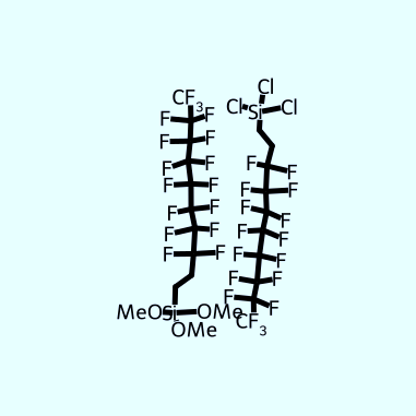 CO[Si](CCC(F)(F)C(F)(F)C(F)(F)C(F)(F)C(F)(F)C(F)(F)C(F)(F)C(F)(F)F)(OC)OC.FC(F)(F)C(F)(F)C(F)(F)C(F)(F)C(F)(F)C(F)(F)C(F)(F)C(F)(F)CC[Si](Cl)(Cl)Cl